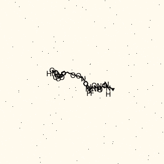 CN(CCOCCOCCCc1ccc2c(c1)oc(=O)n2C1CCC(=O)NC1=O)C[C@H]1CC[C@H](n2cc(NC(=O)c3coc(-c4ccnc(NCC5CC5)c4)n3)c(C(F)F)n2)CC1